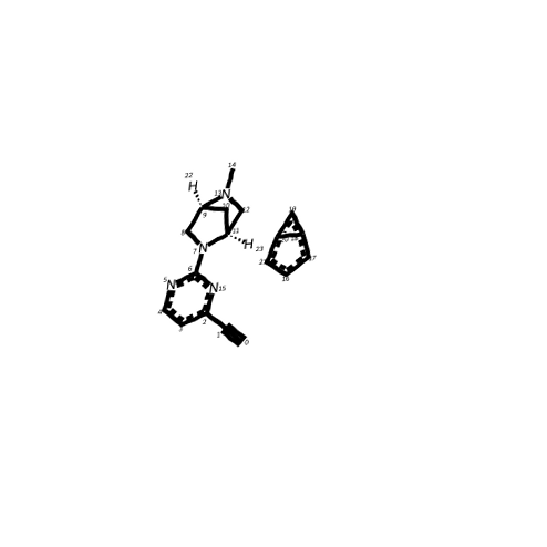 C#Cc1ccnc(N2C[C@@H]3C[C@H]2CN3C)n1.c1cc2cc-2c1